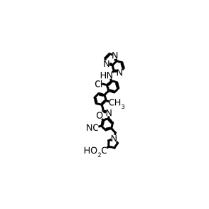 Cc1c(-c2nc3cc(CN4CCC(C(=O)O)C4)cc(C#N)c3o2)cccc1-c1cccc(Nc2nccc3nccnc23)c1Cl